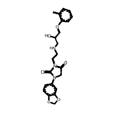 Cc1ccccc1OCC(O)CNCCN1C(=O)CN(c2ccc3c(c2)OCO3)C1=O